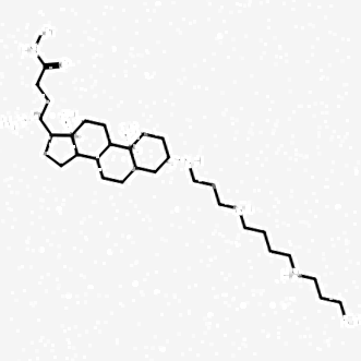 CC(C)NC(=O)CC[C@@H](C)C1CCC2C3CCC4C[C@@H](NCCCNCCCCNCCCN)CC[C@]4(C)C3CC[C@@]21C